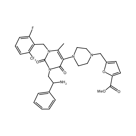 COC(=O)c1ccc(CN2CCN(c3c(C)n(Cc4c(F)cccc4C(F)(F)F)c(=O)n(CC(N)c4ccccc4)c3=O)CC2)o1